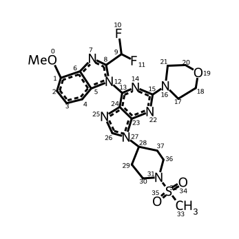 COc1cccc2c1nc(C(F)F)n2-c1nc(N2CCOCC2)nc2c1ncn2C1CCN(S(C)(=O)=O)CC1